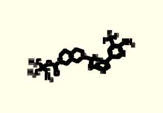 CC(C)(C)OC(=O)N1CCN2CCN(c3nn4c(-c5cnc(N)c(C(F)(F)F)c5)cnc4s3)CC2C1